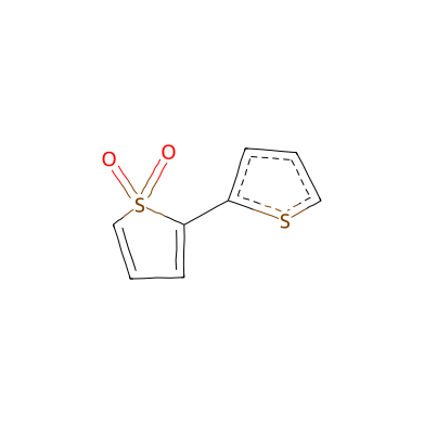 O=S1(=O)C=CC=C1c1cccs1